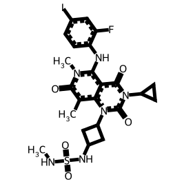 CNS(=O)(=O)NC1CC(n2c(=O)n(C3CC3)c(=O)c3c(Nc4ccc(I)cc4F)n(C)c(=O)c(C)c32)C1